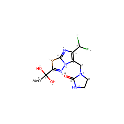 COC(O)(O)c1nn2c(CN3CCNC3=O)c(C(F)F)nc2s1